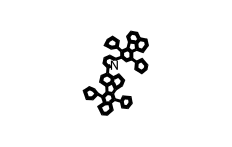 c1ccc(-c2cc(-c3cccc(-c4ccc5c6c(cccc46)-c4c-5c(-c5ccccc5)c5ccccc5c4-c4ccccc4)n3)c(-c3ccccc3)c3c2-c2cccc4cccc-3c24)cc1